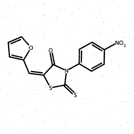 O=C1/C(=C\c2ccco2)SC(=S)N1c1ccc([N+](=O)[O-])cc1